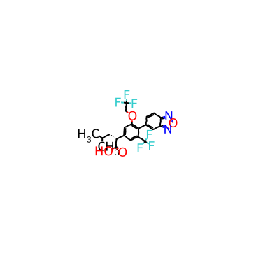 CC(C)C[C@@H](C(=O)O)c1cc(OCC(F)(F)F)c(-c2ccc3nonc3c2)c(C(F)(F)F)c1